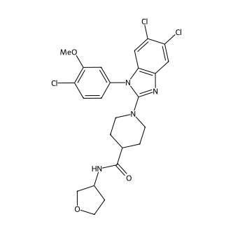 COc1cc(-n2c(N3CCC(C(=O)NC4CCOC4)CC3)nc3cc(Cl)c(Cl)cc32)ccc1Cl